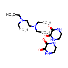 O=C(O)CN(CCN(CC(=O)O)CC(=O)O)CC(=O)O.O=C1NCCNC1=O.O=C1NCCNC1=O